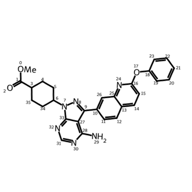 COC(=O)C1CCC(n2nc(-c3ccc4ccc(Oc5ccccc5)nc4c3)c3c(N)ncnc32)CC1